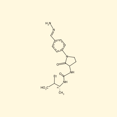 CCC(C(=O)O)[C@@H](C)NC(=O)NC1CCN(c2ccc(C=NN)cc2)C1=O